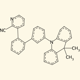 CC1(C)c2ccccc2N(c2cccc(-c3ccccc3-c3cccnc3C#N)c2)c2ccccc21